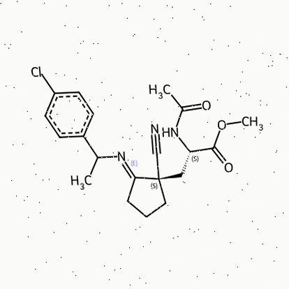 COC(=O)[C@H](C[C@@]1(C#N)CCC/C1=N\C(C)c1ccc(Cl)cc1)NC(C)=O